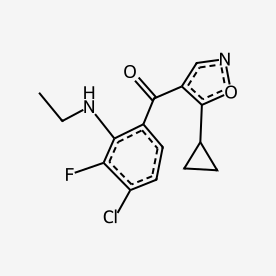 CCNc1c(C(=O)c2cnoc2C2CC2)ccc(Cl)c1F